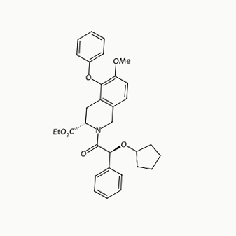 CCOC(=O)[C@@H]1Cc2c(ccc(OC)c2Oc2ccccc2)CN1C(=O)[C@@H](OC1CCCC1)c1ccccc1